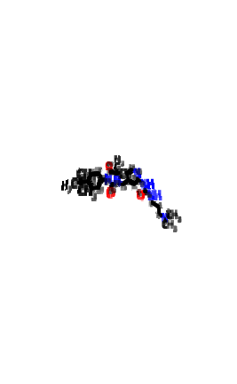 CN(C)CCCNC(=O)Nc1cc(CN2C(=O)N(c3ccc(C(C)(C)C)cc3)C(=O)C2(C)C)ccn1